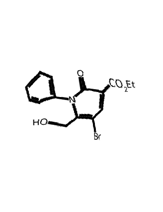 CCOC(=O)c1cc(Br)c(CO)n(-c2ccccc2)c1=O